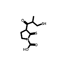 CC(CS)C(=O)C1CCN(C(=O)O)C1=S